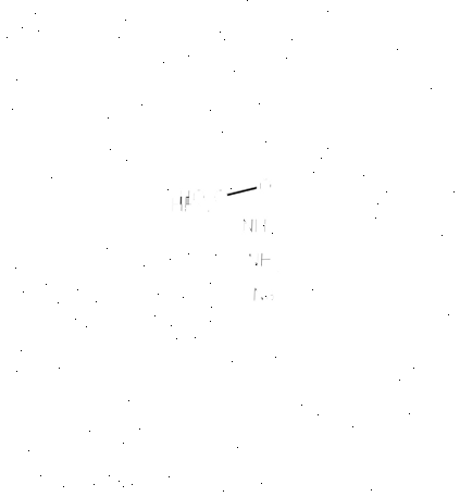 F.N.N.O=C([O-])O.[Na+]